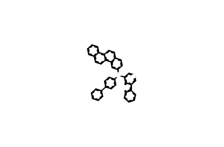 c1ccc(-c2ccc(N(c3ccc4ccc5c6ccccc6ccc5c4c3)c3cncc4c3oc3ccccc34)cc2)cc1